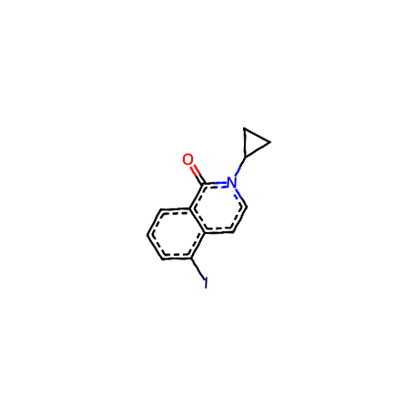 O=c1c2cccc(I)c2ccn1C1CC1